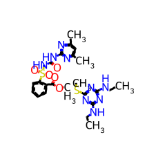 CCNc1nc(NCC)nc(SC)n1.COC(=O)c1ccccc1S(=O)(=O)NC(=O)Nc1nc(C)cc(C)n1